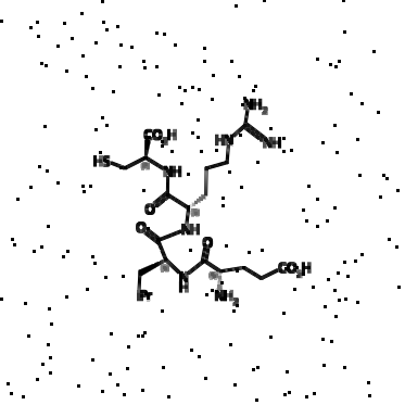 CC(C)C[C@H](NC(=O)[C@@H](N)CCC(=O)O)C(=O)N[C@@H](CCCNC(=N)N)C(=O)N[C@@H](CS)C(=O)O